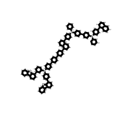 c1ccc(N(c2ccc(-c3ccc(N(c4ccccc4)c4ccc(-c5cccc6c(-c7ccc(-c8ccc(-c9ccc(N(c%10ccc(-c%11cccc%12c%11oc%11ccccc%11%12)cc%10)c%10cccc(-c%11cccc%12c%11oc%11ccccc%11%12)c%10)cc9)cc8)cc7)cccc56)cc4)cc3)cc2)c2ccc(-c3cccc4ccccc34)cc2)cc1